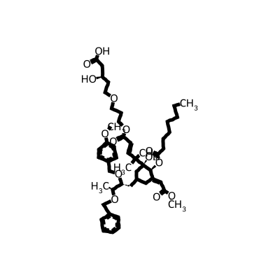 CCCCCCCC(=O)O[C@H]1/C(=C/C(=O)OC)CC(C[C@@H](OCc2ccc(OC)cc2)[C@@H](C)OCc2ccccc2)C[C@@]1(O)C(C)(C)/C=C/C(=O)OCCCOCC[C@@H](O)CC(=O)O